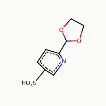 O=S(=O)(O)c1ccc(C2OCCO2)nc1